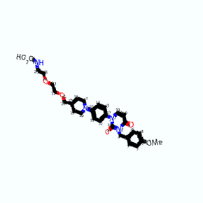 COc1ccc(Cn2c(=O)ccn(-c3ccc(N4CCC(COCCOCCNC(=O)O)CC4)cc3)c2=O)cc1